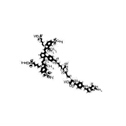 CC1(C)C(/C=C/C2=C(c3ccc(C(=O)NCCCC[C@H](NC(=O)CC[C@H](NC(=O)c4ccc(NCc5cnc6nc(N)[nH]c(=O)c6n5)cc4)C(=O)O)C(=O)O)cc3)C(=C/C=C3/N(CCCCS(=O)(=O)O)c4ccc(S(=O)(=O)O)cc4C3(C)C)/CCC2)=[N+](CCCCS(=O)(=O)O)c2ccc(S(=O)(=O)O)cc21